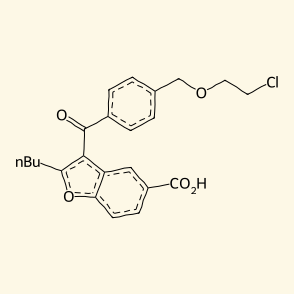 CCCCc1oc2ccc(C(=O)O)cc2c1C(=O)c1ccc(COCCCl)cc1